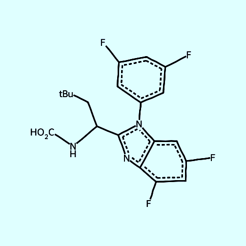 CC(C)(C)CC(NC(=O)O)c1nc2c(F)cc(F)cc2n1-c1cc(F)cc(F)c1